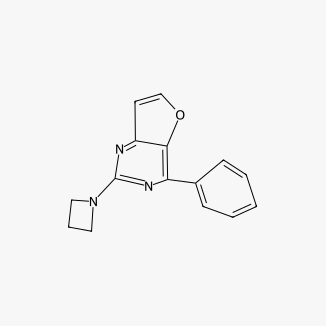 c1ccc(-c2nc(N3CCC3)nc3ccoc23)cc1